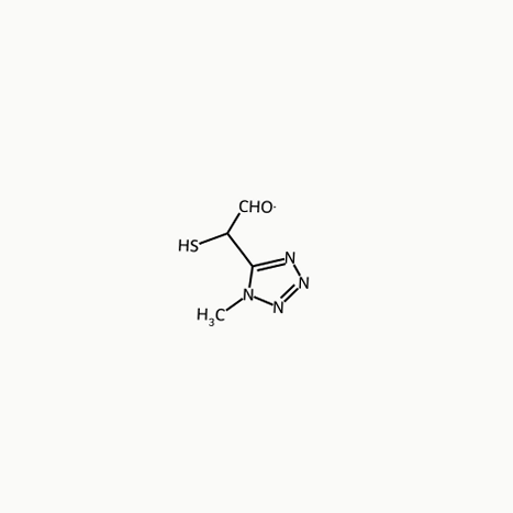 Cn1nnnc1C(S)[C]=O